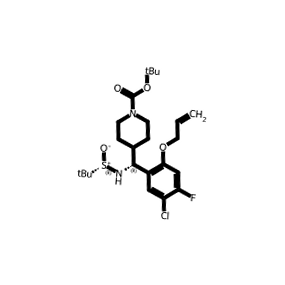 C=CCOc1cc(F)c(Cl)cc1[C@H](N[S@@+]([O-])C(C)(C)C)C1CCN(C(=O)OC(C)(C)C)CC1